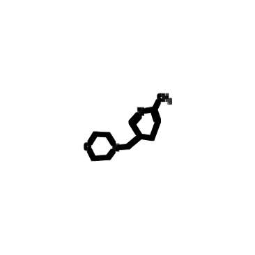 CC1=CCC(CN2CCOCC2)C=N1